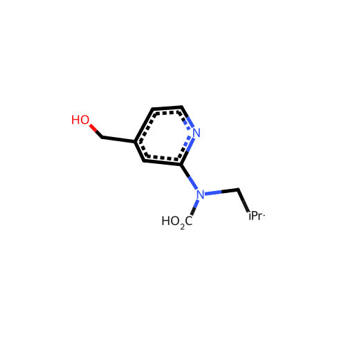 C[C](C)CN(C(=O)O)c1cc(CO)ccn1